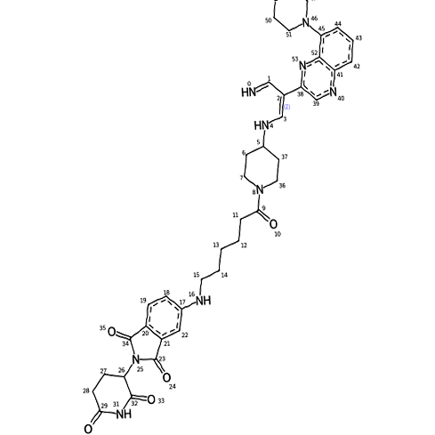 N=C/C(=C\NC1CCN(C(=O)CCCCCNc2ccc3c(c2)C(=O)N(C2CCC(=O)NC2=O)C3=O)CC1)c1cnc2cccc(N3CCOCC3)c2n1